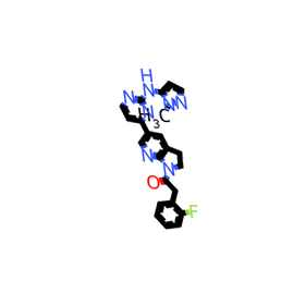 Cn1nccc1Nc1nccc(-c2cnc3c(c2)CCN3C(=O)Cc2ccccc2F)n1